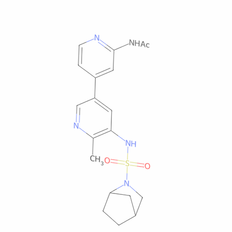 CC(=O)Nc1cc(-c2cnc(C)c(NS(=O)(=O)N3CC4CCC3C4)c2)ccn1